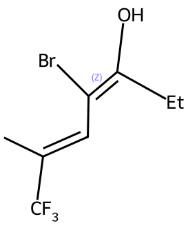 CC/C(O)=C(/Br)C=C(C)C(F)(F)F